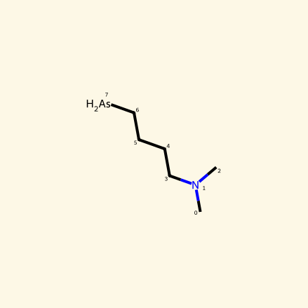 CN(C)CCCC[AsH2]